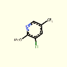 [CH2-][OH+]c1ncc(C(F)(F)F)cc1Cl